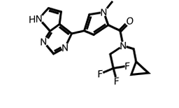 Cn1cc(-c2ncnc3[nH]ccc23)cc1C(=O)N(CC1CC1)CC(F)(F)F